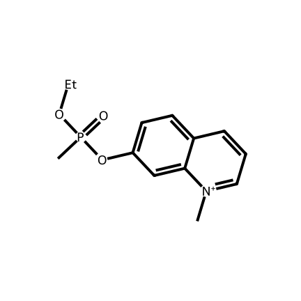 CCOP(C)(=O)Oc1ccc2ccc[n+](C)c2c1